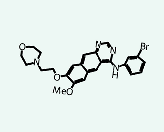 COc1cc2cc3c(Nc4cccc(Br)c4)ncnc3cc2cc1OCCN1CCOCC1